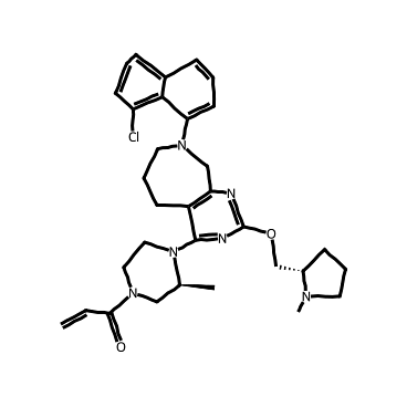 C=CC(=O)N1CCN(c2nc(OC[C@@H]3CCCN3C)nc3c2CCCN(c2cccc4cccc(Cl)c24)C3)[C@@H](C)C1